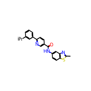 Cc1nc2cc(NC(=O)c3ccc(-c4cccc(C(C)C)c4)nc3)ccc2s1